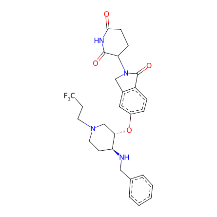 O=C1CCC(N2Cc3cc(O[C@H]4CN(CCC(F)(F)F)CC[C@@H]4NCc4ccccc4)ccc3C2=O)C(=O)N1